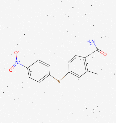 Cc1cc(Sc2ccc([N+](=O)[O-])cc2)ccc1C(N)=O